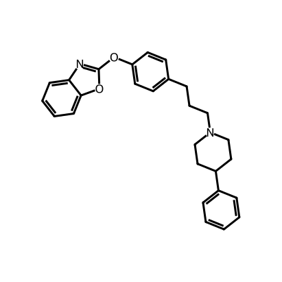 c1ccc(C2CCN(CCCc3ccc(Oc4nc5ccccc5o4)cc3)CC2)cc1